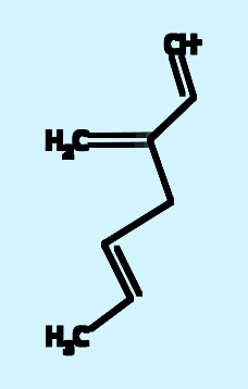 [CH]=CC(=C)CC=CC